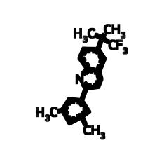 Cc1cc(C)cc(-c2ccc3cc(C(C)(C)C(F)(F)F)ccc3n2)c1